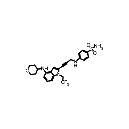 NS(=O)(=O)c1ccc(NCC#Cc2cc3c(NC4CCOCC4)cccc3n2CC(F)(F)F)cc1